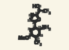 COc1nc(-c2nnc(C(O)C(F)(F)F)o2)c(N)cc1C(F)(F)F